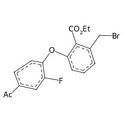 CCOC(=O)c1c(CBr)cccc1Oc1ccc(C(C)=O)cc1F